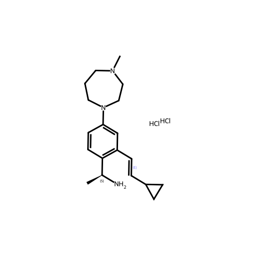 C[C@H](N)c1ccc(N2CCCN(C)CC2)cc1/C=C/C1CC1.Cl.Cl